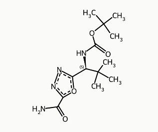 CC(C)(C)OC(=O)N[C@H](c1nnc(C(N)=O)o1)C(C)(C)C